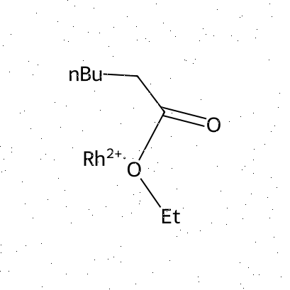 CCCCCC(=O)OCC.[Rh+2]